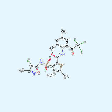 Cc1cc(C)c(NC(=O)c2sc(C)c(C)c2S(=O)(=O)Nc2onc(C)c2Cl)c(C(=O)C(F)(F)F)c1